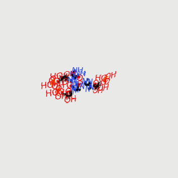 Cc1cn([C@H]2C[C@H](O)[C@@H](COP(=O)(O)O)O2)c(=O)[nH]c1=O.Nc1nc2c(ncn2[C@@H]2O[C@H](COP(=O)(O)O)[C@@H](O)[C@H]2O)c(=O)[nH]1.Nc1ncnc2c1ncn2[C@@H]1O[C@H](COP(=O)(O)O)[C@@H](O)[C@H]1O